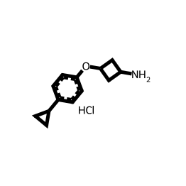 Cl.NC1CC(Oc2ccc(C3CC3)cc2)C1